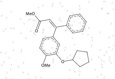 COC(=O)C=C(c1ccccc1)c1ccc(OC)c(OC2CCCC2)c1